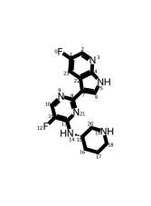 Fc1cnc2[nH]cc(-c3ncc(F)c(N[C@H]4CCCNC4)n3)c2c1